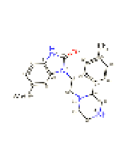 COc1ccc2[nH]c(=O)n(CCN3CCNCC3c3ccc(C(F)(F)F)cc3)c2c1